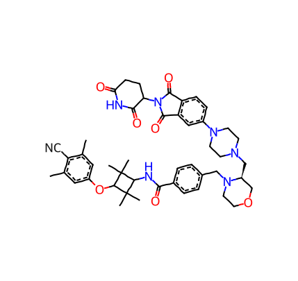 Cc1cc(OC2C(C)(C)C(NC(=O)c3ccc(CN4CCOC[C@@H]4CN4CCN(c5ccc6c(c5)C(=O)N(C5CCC(=O)NC5=O)C6=O)CC4)cc3)C2(C)C)cc(C)c1C#N